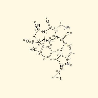 CC(C)C[C@@H](C(=O)N1C[C@]2(C[C@H]1C#N)C(=O)Nc1ccccc12)N(C)C(=O)c1ccc2nn(C3CC3)cc2c1